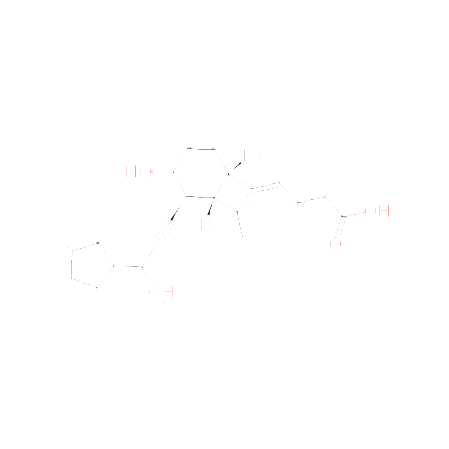 CC1C(=CCCC(=O)O)[C@H]2CC[C@@H](O)[C@H](C#CC(O)C3CCCC3)[C@@H]12